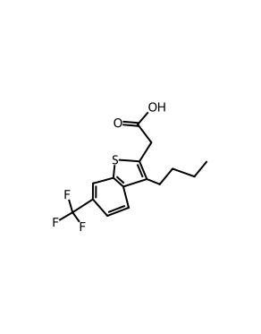 CCCCc1c(CC(=O)O)sc2cc(C(F)(F)F)ccc12